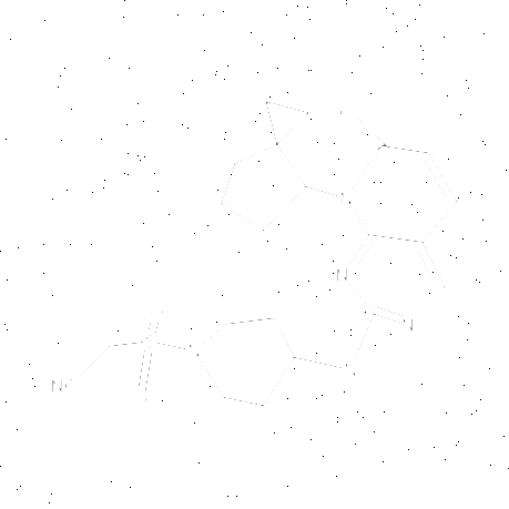 N#CCS(=O)(=O)N1CCC(Nc2ncc3ccc(=O)n(C4CCCC45CC5)c3n2)CC1